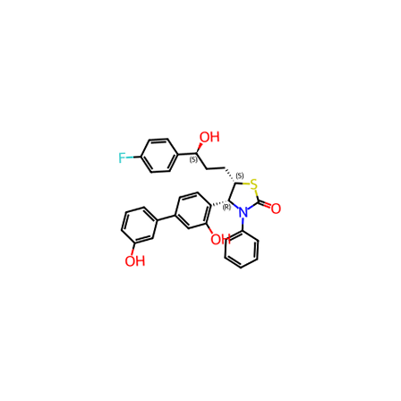 O=C1S[C@@H](CC[C@H](O)c2ccc(F)cc2)[C@@H](c2ccc(-c3cccc(O)c3)cc2O)N1c1ccccc1